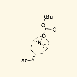 CC(=O)C=C1CC2COCC(C1)CN(C(=O)OC(C)(C)C)C2